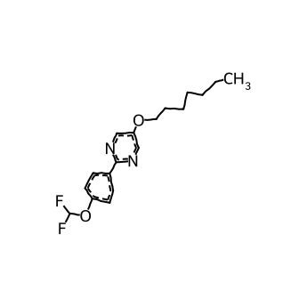 CCCCCCCOc1cnc(-c2ccc(OC(F)F)cc2)nc1